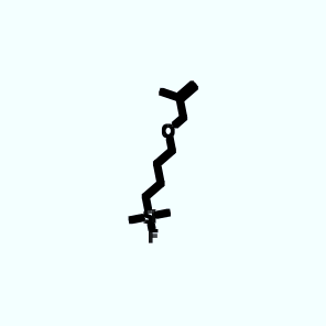 C=C(C)COCCCC[Si](C)(C)F